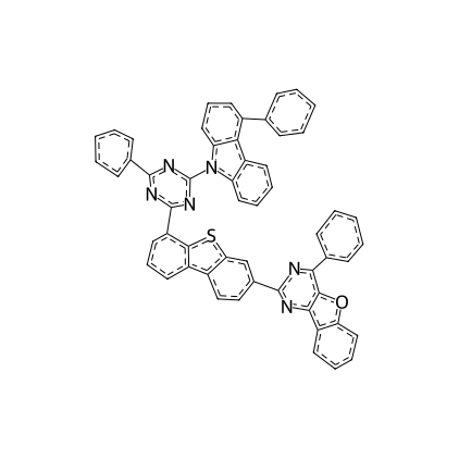 c1ccc(-c2nc(-c3cccc4c3sc3cc(-c5nc(-c6ccccc6)c6oc7ccccc7c6n5)ccc34)nc(-n3c4ccccc4c4c(-c5ccccc5)cccc43)n2)cc1